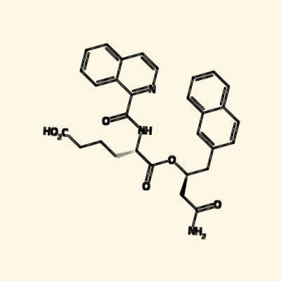 NC(=O)C[C@H](Cc1ccc2ccccc2c1)OC(=O)[C@H](CCCC(=O)O)NC(=O)c1nccc2ccccc12